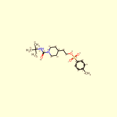 Cc1ccc(S(=O)(=O)OCCC2CCN(C(=O)NC(C)(C)C)CC2)cc1